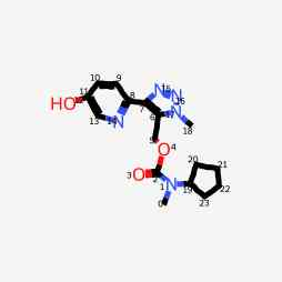 CN(C(=O)OCc1c(-c2ccc(O)cn2)nnn1C)C1CCCC1